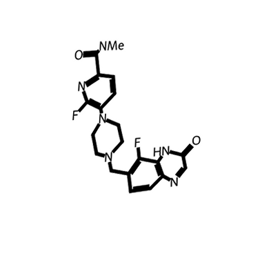 CNC(=O)c1ccc(N2CCN(Cc3ccc4ncc(=O)[nH]c4c3F)CC2)c(F)n1